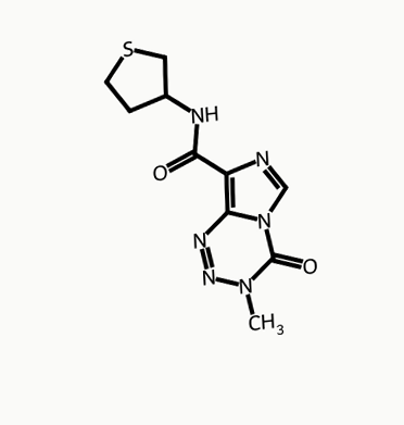 Cn1nnc2c(C(=O)NC3CCSC3)ncn2c1=O